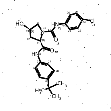 CC(C)(C)c1ccc(NC(=O)[C@H]2C[C@@H](O)CN2C(=O)Nc2ccc(Cl)cc2)cc1